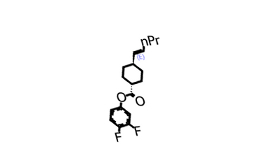 CCC/C=C/[C@H]1CC[C@H](C(=O)Oc2ccc(F)c(F)c2)CC1